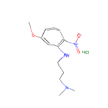 COc1ccc([N+](=O)[O-])c(NCCCN(C)C)c1.Cl